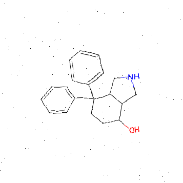 OC1CCC(c2ccccc2)(c2ccccc2)C2CNCC12